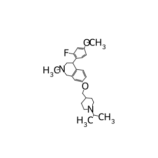 COc1ccc(C2CN(C)Cc3cc(OCC4CCN(C(C)C)CC4)ccc32)c(F)c1